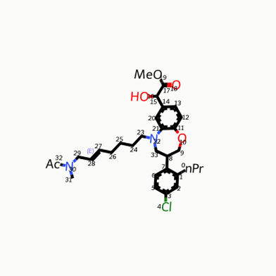 CCCc1cc(Cl)ccc1C1COc2ccc(C(O)C(=O)OC)cc2N(CCCC/C=C/CN(C)C(C)=O)C1